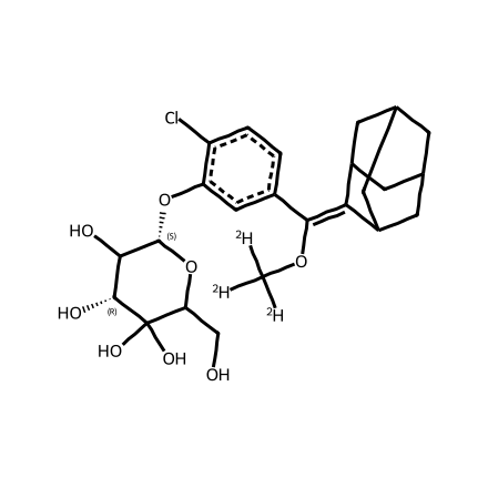 [2H]C([2H])([2H])OC(=C1C2CC3CC(C2)CC1C3)c1ccc(Cl)c(O[C@@H]2OC(CO)C(O)(O)[C@H](O)C2O)c1